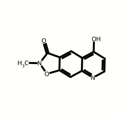 Cn1oc2cc3nccc(O)c3cc2c1=O